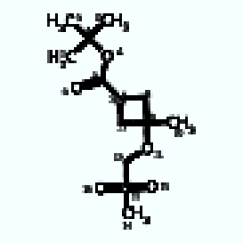 CC(C)(C)OC(=O)N1CC(C)(OCS(C)(=O)=O)C1